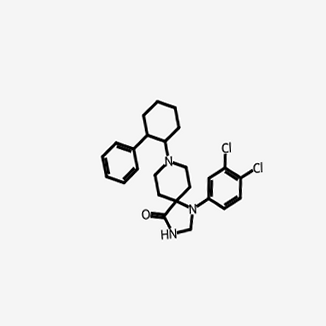 O=C1NCN(c2ccc(Cl)c(Cl)c2)C12CCN(C1CCCCC1c1ccccc1)CC2